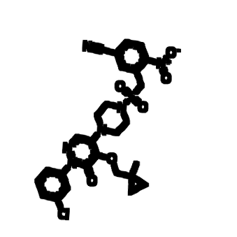 CC1(COc2c(N3CCN(S(=O)(=O)Cc4cc(C#N)ccc4[N+](=O)[O-])CC3)cnn(-c3cccc(Cl)c3)c2=O)CC1